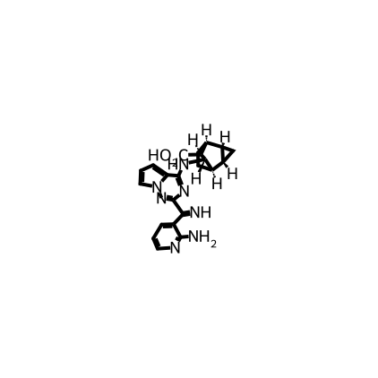 N=C(c1nc(N[C@H]2[C@@H]3CC[C@@H]([C@@H]4C[C@@H]43)[C@@H]2C(=O)O)c2cccn2n1)c1cccnc1N